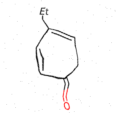 [CH2]CC1=CCC(=O)C=C1